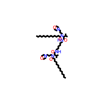 CCCCCCCCCCCCCC(=O)N(CCCN1CCOCC1)C(C(=O)NCCCCCCNC(=O)C(C(C)C)N(CCCN1CCOCC1)C(=O)CCCCCCCCCCCCC)C(C)C